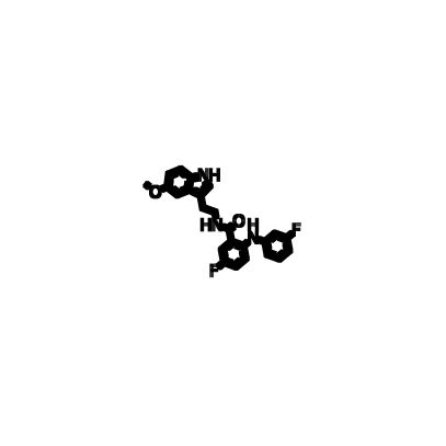 COc1ccc2[nH]cc(CCNC(=O)c3cc(F)ccc3Nc3cccc(F)c3)c2c1